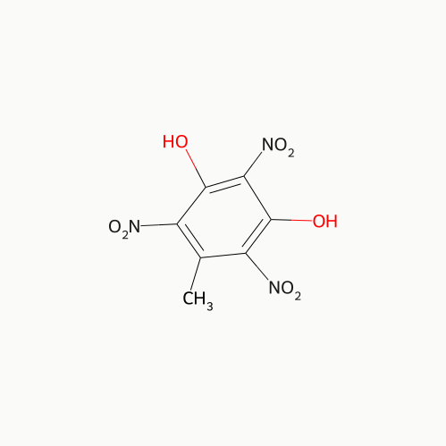 Cc1c([N+](=O)[O-])c(O)c([N+](=O)[O-])c(O)c1[N+](=O)[O-]